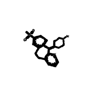 CC(=O)N1CCC(=C2c3ccc(S(C)(=O)=O)cc3CCc3cccnc32)CC1